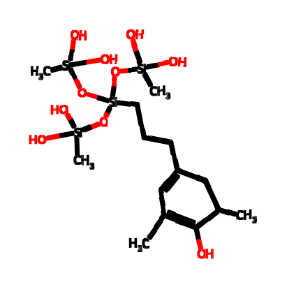 CC1=C(O)C(C)CC(CCC[Si](O[Si](C)(O)O)(O[Si](C)(O)O)O[Si](C)(O)O)=C1